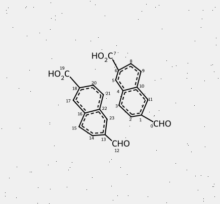 O=Cc1ccc2cc(C(=O)O)ccc2c1.O=Cc1ccc2cc(C(=O)O)ccc2c1